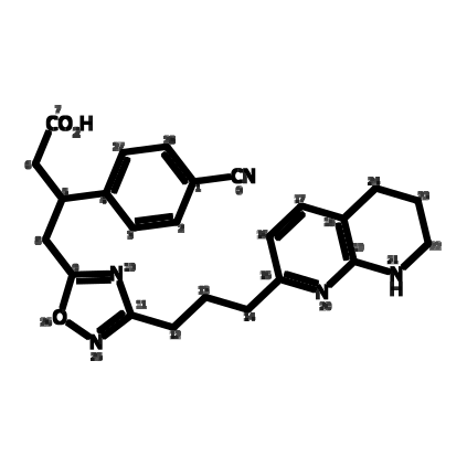 N#Cc1ccc(C(CC(=O)O)Cc2nc(CCCc3ccc4c(n3)NCCC4)no2)cc1